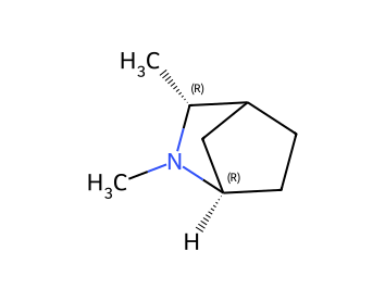 C[C@@H]1C2CC[C@H](C2)N1C